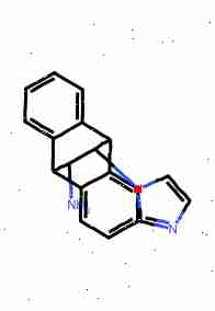 NC1C2c3ccccc3C(c3ccccc32)C1n1ccnc1